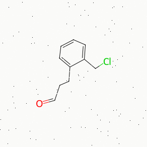 O=CCCc1ccccc1CCl